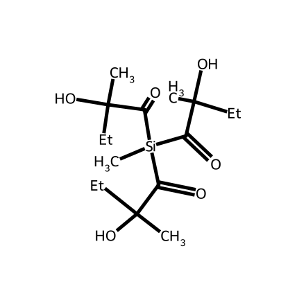 CCC(C)(O)C(=O)[Si](C)(C(=O)C(C)(O)CC)C(=O)C(C)(O)CC